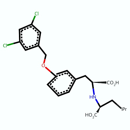 CC(C)C[C@H](N[C@@H](Cc1cccc(OCc2cc(Cl)cc(Cl)c2)c1)C(=O)O)C(=O)O